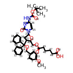 COc1ccc(COC(c2ccccc2)(c2ccccc2)C2CC(n3ccc(NC(=O)OC(C)(C)C)nc3=O)OC2COC(=O)CCCCC(=O)O)cc1